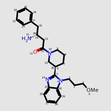 COCCCn1c([C@@H]2CCCN(C(=O)C[C@H](N)Cc3ccccc3)C2)nc2ccccc21